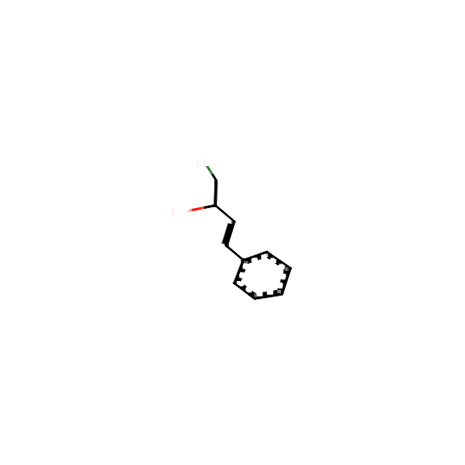 OC(/C=C/c1ccccc1)CCl